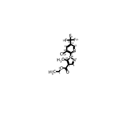 CCOC(=O)c1cnn(-c2ncc(C(F)(F)F)cc2Cl)c1C